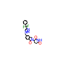 O=C1CCC(N2Cc3cc(Cn4cc(C(F)(F)c5ccccc5)nn4)ccc3C2=O)C(=O)N1